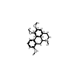 COc1cccc2c1CC1c3c(cc(OC)c(OC)c3-2)CCN1C